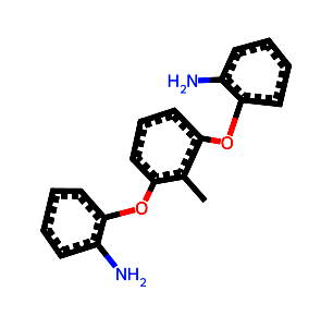 Cc1c(Oc2ccccc2N)cccc1Oc1ccccc1N